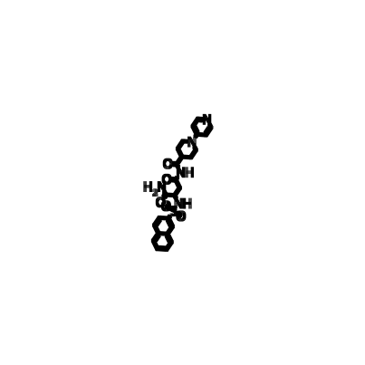 NC(=O)C(CC(=O)NC(=O)C1CCN(c2ccncc2)CC1)NS(=O)(=O)c1ccc2ccccc2c1